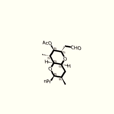 CCC[C@H]1O[C@H]2[C@H](C)[C@@H](OC(C)=O)[C@H](CC=O)O[C@H]2C[C@H]1C